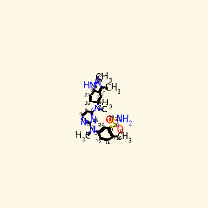 CC1=C2C=C(N(C)c3ccnc(N(C)c4ccc(C)c(S(N)(=O)=O)c4)n3)C=CC2NN1C